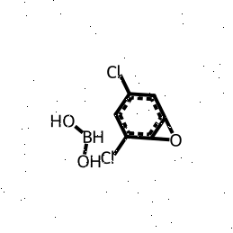 Clc1cc(Cl)c2c(c1)O2.OBO